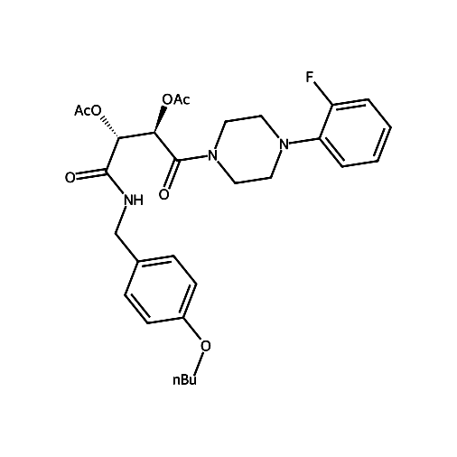 CCCCOc1ccc(CNC(=O)[C@H](OC(C)=O)[C@@H](OC(C)=O)C(=O)N2CCN(c3ccccc3F)CC2)cc1